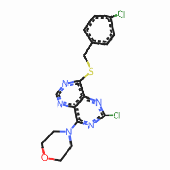 Clc1ccc(CSc2ncnc3c(N4CCOCC4)nc(Cl)nc23)cc1